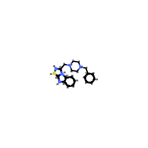 c1ccc(CN2CCN(Cc3nsc4nc5ccccc5n34)CC2)cc1